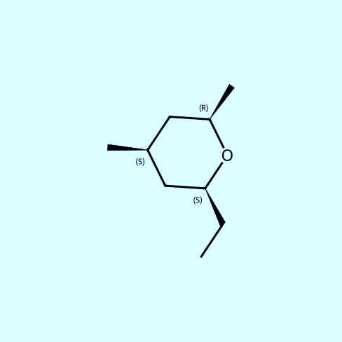 CC[C@H]1C[C@@H](C)C[C@@H](C)O1